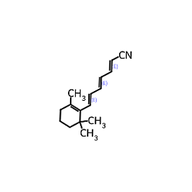 CC1=C(/C=C/C=C/C=C/C#N)C(C)(C)CCC1